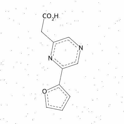 O=C(O)Cc1cncc(-c2ccco2)n1